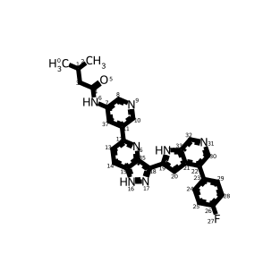 CC(C)CC(=O)Nc1cncc(-c2ccc3[nH]nc(-c4cc5c(-c6ccc(F)cc6)cncc5[nH]4)c3n2)c1